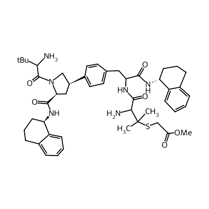 COC(=O)CSC(C)(C)C(N)C(=O)NC(Cc1ccc([C@H]2C[C@@H](C(=O)N[C@@H]3CCCc4ccccc43)N(C(=O)C(N)C(C)(C)C)C2)cc1)C(=O)N[C@@H]1CCCc2ccccc21